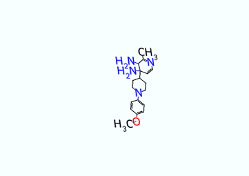 COc1ccc(N2CCC(C3(N)C=CN=C(C)C3N)CC2)cc1